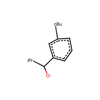 CCCCc1cccc(C([O])C(C)C)c1